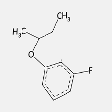 CCC(C)Oc1[c]c(F)ccc1